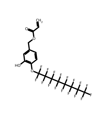 C=CC(=O)OCc1ccc(OC(F)(F)C(F)(F)C(F)(F)C(F)(F)C(F)(F)C(F)(F)C(F)(F)C(F)(F)F)c(O)c1